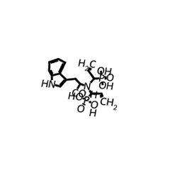 C=CC(N(C(Cc1c[nH]c2ccccc12)C(=O)O)C(C=C)P(=O)(O)O)P(=O)(O)O